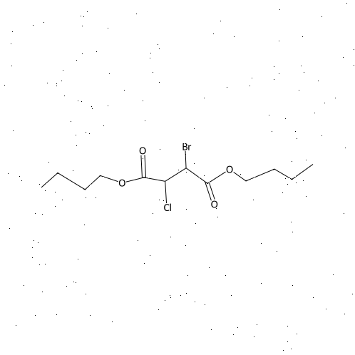 CCCCOC(=O)C(Cl)C(Br)C(=O)OCCCC